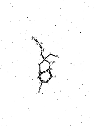 [N-]=[N+]=NCC1(CF)Cc2cc(F)c[c]c2O1